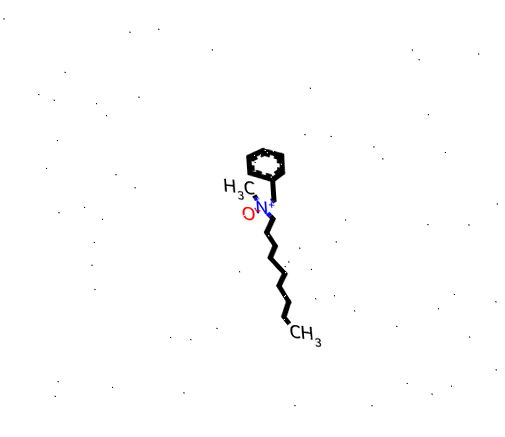 CCCCCCCCC[N+](C)([O-])Cc1ccccc1